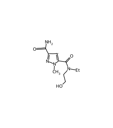 CCN(CCO)C(=O)c1[c]c(C(N)=O)nn1C